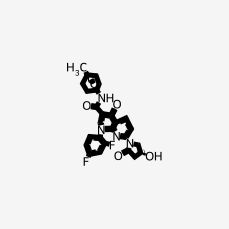 CC12CCC(NC(=O)c3cn(-c4ccc(F)cc4F)c4nc(N5C[C@@H](O)CC5=O)ccc4c3=O)(CC1)CC2